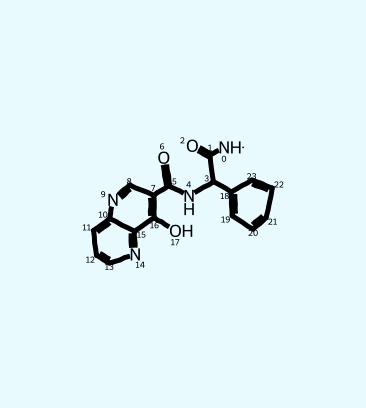 [NH]C(=O)C(NC(=O)c1cnc2cccnc2c1O)c1ccccc1